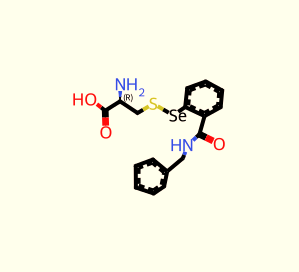 N[C@@H](CS[Se]c1ccccc1C(=O)NCc1ccccc1)C(=O)O